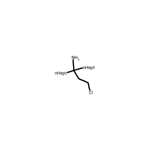 CCCCCCCC(N)(CCCl)CCCCCCC